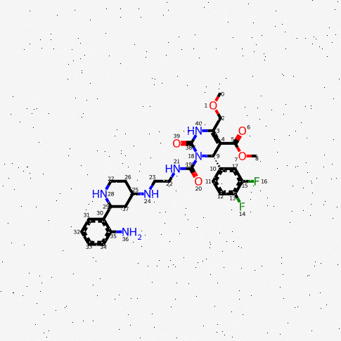 COCC1=C(C(=O)OC)[C@H](c2ccc(F)c(F)c2)N(C(=O)NCCNC2CCNC(c3ccccc3N)C2)C(=O)N1